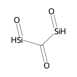 O=[SiH]C(=O)[SiH]=O